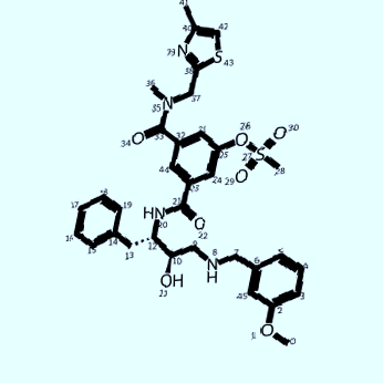 COc1cccc(CNC[C@@H](O)[C@H](Cc2ccccc2)NC(=O)c2cc(OS(C)(=O)=O)cc(C(=O)N(C)Cc3nc(C)cs3)c2)c1